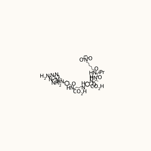 CC(NC(=O)C(NC(=O)CCCCCN1C(=O)C=CC1=O)C(C)C)C(=O)Nc1ccc(NCCCC(NC(=O)c2ccc(NCc3cnc4nc(N)nc(N)c4n3)cc2)C(=O)O)cc1C(=O)O